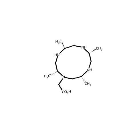 C[C@@H]1CN[C@H](C)CN(CC(=O)O)[C@H](C)CN[C@H](C)CN1